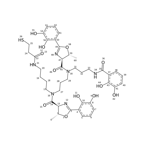 C[C@H]1OC(c2cccc(O)c2O)=N[C@@H]1C(=O)N(CCCCNC(=O)CCS)CCCN(CCCNC(=O)c1cccc(O)c1O)C(=O)[C@H]1N=C(c2cccc(O)c2O)O[C@@H]1C